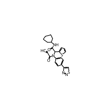 C#CC(=O)N(c1ccc(-c2csnn2)cc1)C(C(=O)NC1CCCCC1)c1cccs1